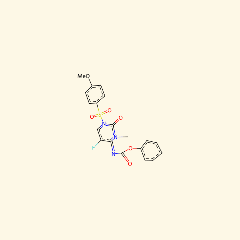 COc1ccc(S(=O)(=O)n2cc(F)c(=NC(=O)Oc3ccccc3)n(C)c2=O)cc1